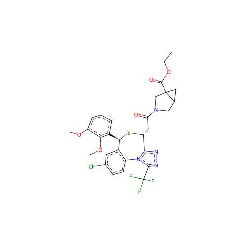 CCOC(=O)C12CC1CN(C(=O)C[C@H]1S[C@H](c3cccc(OC)c3OC)c3cc(Cl)ccc3-n3c1nnc3C(F)(F)F)C2